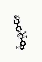 CC(C)[C@@H](NC(=O)c1ccc2cc[nH]c2c1)C(=O)N1CCC(C2CCN(C)CC2)CC1